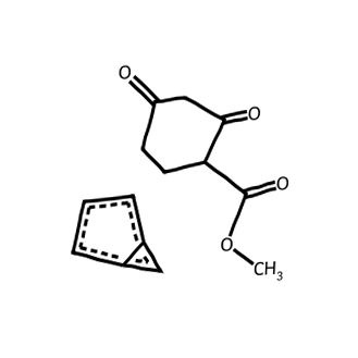 COC(=O)C1CCC(=O)CC1=O.c1cc2cc-2c1